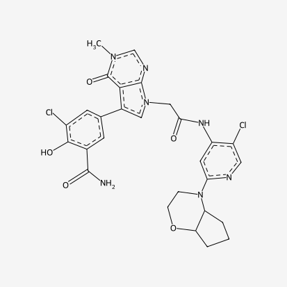 Cn1cnc2c(c(-c3cc(Cl)c(O)c(C(N)=O)c3)cn2CC(=O)Nc2cc(N3CCOC4CCCC43)ncc2Cl)c1=O